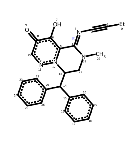 CCC#C/N=C1/c2c(O)c(=O)cnn2C(C(c2ccccc2)c2ccccc2)CN1C